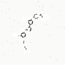 COc1cc(Nc2nccc(-c3ccc(OC4CCN(C(=O)[C@H](C)O)CC4)c(N)c3)n2)ccc1OCCOCCN